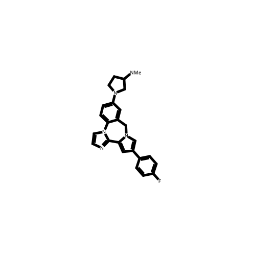 CNC1CCN(c2ccc3c(c2)Cn2cc(-c4ccc(F)cc4)cc2-c2nccn2-3)C1